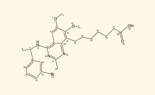 COc1cc2c(NC(C)c3cccc(Br)c3)nc(C)nc2c(CCCCCCC(=O)O)c1OC